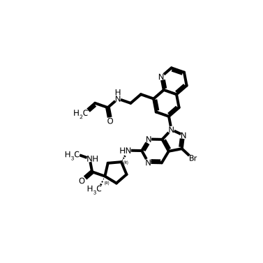 C=CC(=O)NCCc1cc(-n2nc(Br)c3cnc(N[C@@H]4CC[C@@](C)(C(=O)NC)C4)nc32)cc2cccnc12